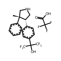 C[C@@]1(c2ccccc2)CNC[C@@H]1c1ccc(C(O)(C(F)(F)F)C(F)(F)F)cc1.O=C(O)C(F)(F)F